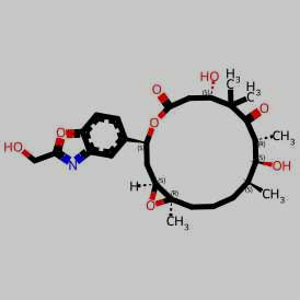 C[C@H]1CCC[C@@]2(C)O[C@H]2C[C@@H](c2ccc3oc(CO)nc3c2)OC(=O)C[C@H](O)C(C)(C)C(=O)[C@H](C)[C@H]1O